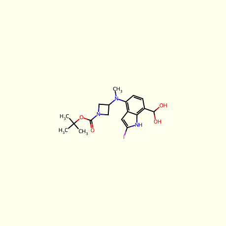 CN(c1ccc(C(O)O)c2[nH]c(I)cc12)C1CN(C(=O)OC(C)(C)C)C1